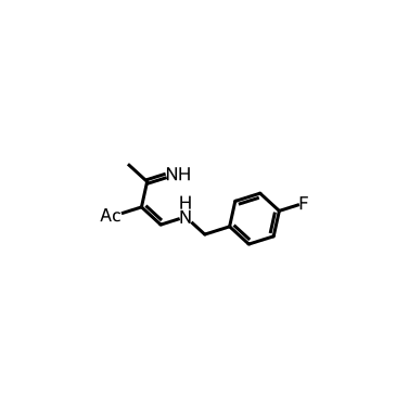 CC(=N)/C(=C\NCc1ccc(F)cc1)C(C)=O